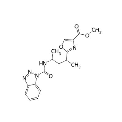 COC(=O)c1coc(C(C)CC(C)NC(=O)n2nnc3ccccc32)n1